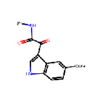 COc1ccc2[nH]cc(C(=O)C(=O)NC(C)C)c2c1